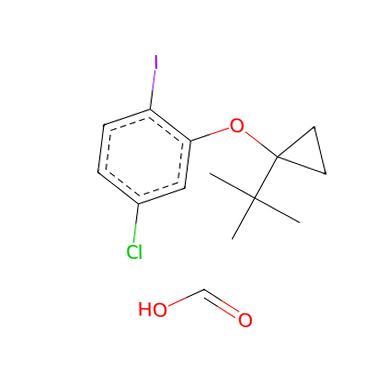 CC(C)(C)C1(Oc2cc(Cl)ccc2I)CC1.O=CO